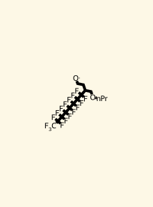 CCCOCC(CC[O])C(F)(F)C(F)(F)C(F)(F)C(F)(F)C(F)(F)C(F)(F)C(F)(F)C(F)(F)F